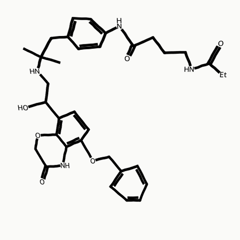 CCC(=O)NCCCC(=O)Nc1ccc(CC(C)(C)NCC(O)c2ccc(OCc3ccccc3)c3c2OCC(=O)N3)cc1